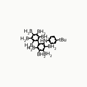 Bc1c(B)c(B)c(-c2c(B)c(B)c(B)c(B)c2Nc2ccc(C(C)(C)C)cc2)c(B)c1B